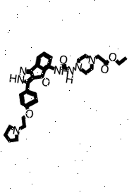 CCOC(=O)CN1CCN(NC(=O)Nc2cccc3c2C(=O)c2c-3n[nH]c2-c2ccc(OCCN3CCCC3)cc2)CC1